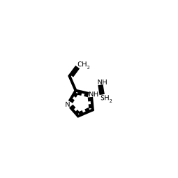 C=Cc1ncc[nH]1.N=[SH2]